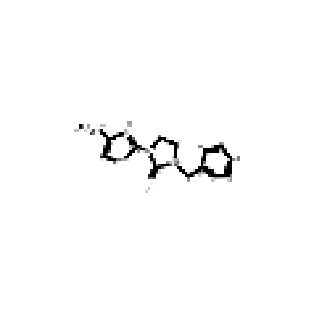 CCOC(=O)c1coc(N2CCN(Cc3ccccc3)C2=O)n1